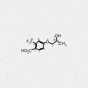 C[C@H](O)COc1ccc(C(=O)O)c(C(F)(F)F)c1